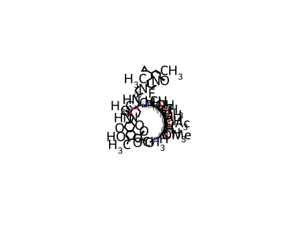 CO[C@H]1/C=C/O[C@@]2(C)Oc3c(C)c(O)c4c(c3C2=O)C(=O)C(N2CCC(C(=O)N[C@H]3CCN(c5c(F)cn6c(=O)c(C)cc(C7CC7)c6c5C)C3)CC2)=C(NC(=O)/C(C)=C\C=C\[C@H](C)[C@H](O)[C@@H](C)[C@@H](O)[C@@H](C)[C@H](OC(C)=O)[C@@H]1C)C4=O